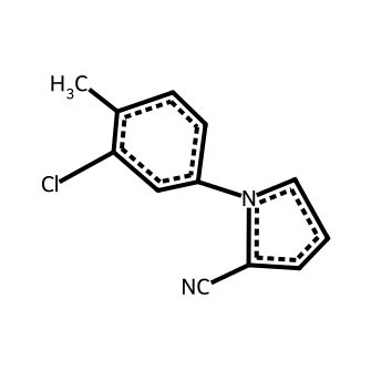 Cc1ccc(-n2cccc2C#N)cc1Cl